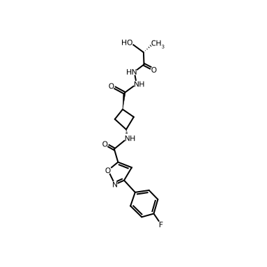 C[C@@H](O)C(=O)NNC(=O)[C@H]1C[C@H](NC(=O)c2cc(-c3ccc(F)cc3)no2)C1